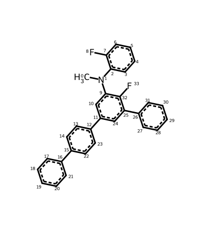 CN(c1ccccc1F)c1cc(-c2ccc(-c3ccccc3)cc2)cc(-c2ccccc2)c1F